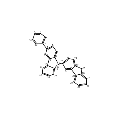 c1ccc(-c2ccc3c(c2)c2ccccc2n3-c2ccc3c(c2)-c2ccccc2C3)cc1